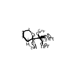 CCCC(CCC)(CCC)C1([SiH3])CCCCO1